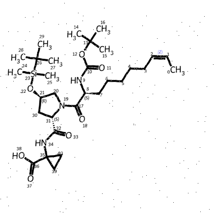 C/C=C\CCCCC[C@H](NC(=O)OC(C)(C)C)C(=O)N1C[C@H](O[Si](C)(C)C(C)(C)C)C[C@H]1C(=O)NC1(C(=O)O)CC1